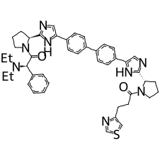 CCN(CC)[C@@H](C(=O)N1CCC[C@H]1c1ncc(-c2ccc(-c3ccc(-c4cnc([C@@H]5CCCN5C(=O)CCc5cscn5)[nH]4)cc3)cc2)[nH]1)c1ccccc1